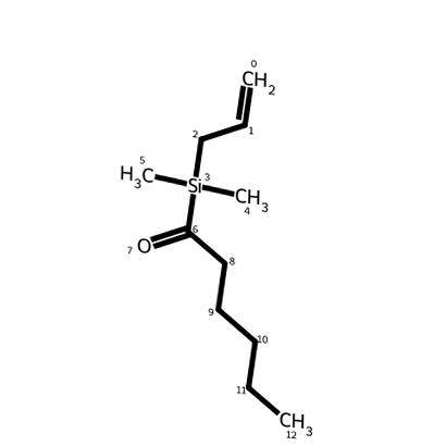 C=CC[Si](C)(C)C(=O)CCCCC